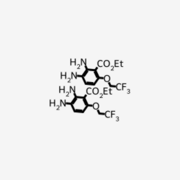 CCOC(=O)c1c(OCC(F)(F)F)ccc(N)c1N.CCOC(=O)c1c(OCC(F)(F)F)ccc(N)c1N